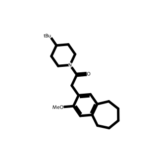 COc1cc2c(cc1CC(=O)N1CCC(C(C)(C)C)CC1)CCCCC2